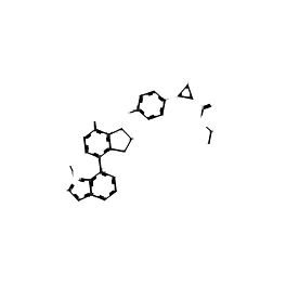 CCOC(=O)[C@H]1C[C@@H]1c1ccc(O[C@@H]2CCc3c(-c4cccc5ccn(C)c45)ccc(F)c32)cc1